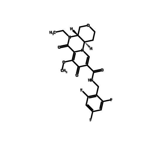 CCN1C(=O)c2c(OC)c(=O)c(C(=O)NCc3c(F)cc(F)cc3F)cn2[C@@H]2CCOC[C@H]21